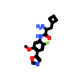 COc1cc(NC(=O)C(N)CC2CCC2)c(F)cc1-c1cnco1